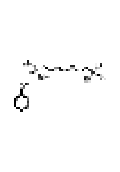 CCCC[N+](CCC)(CC/C=C/OCC[N+](CC)(CC)CC)CCOc1ccccc1